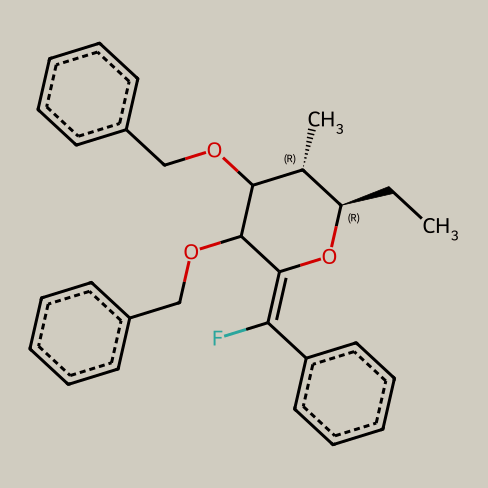 CC[C@H]1OC(=C(F)c2ccccc2)C(OCc2ccccc2)C(OCc2ccccc2)[C@@H]1C